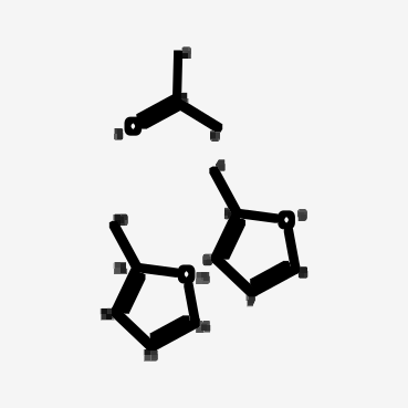 CC(C)=O.Cc1ccco1.Cc1ccco1